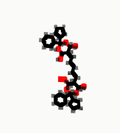 O=C1OC(C2=C=CC=C2)(c2ccccc2)OC(=O)C1=C/C=C/C=C/C1=C(O)OC(C2=CC=CC2)(c2ccccc2)OC1=O